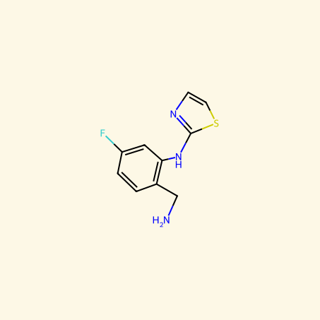 NCc1ccc(F)cc1Nc1nccs1